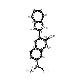 CN(C)c1ccc2cc(-c3nc4ccccc4s3)c(=O)oc2c1